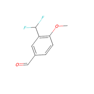 COc1ccc(C=O)cc1C(F)F